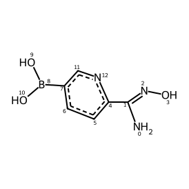 N/C(=N\O)c1ccc(B(O)O)cn1